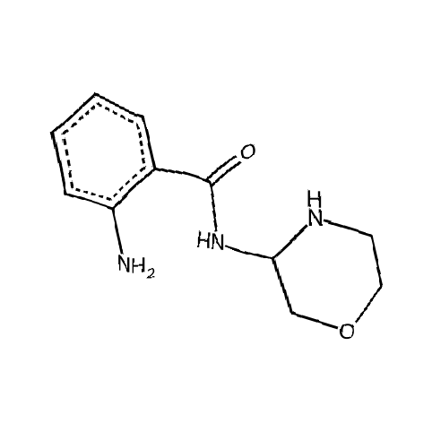 Nc1ccccc1C(=O)NC1COCCN1